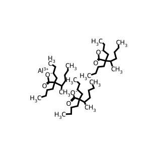 CCCCC(C)C(CCCC)(CCCC)C(=O)[O-].CCCCC(C)C(CCCC)(CCCC)C(=O)[O-].CCCCC(C)C(CCCC)(CCCC)C(=O)[O-].[Al+3]